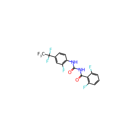 O=C(NC(=O)c1c(F)cccc1F)Nc1ccc(C(F)(F)C(F)(F)F)cc1F